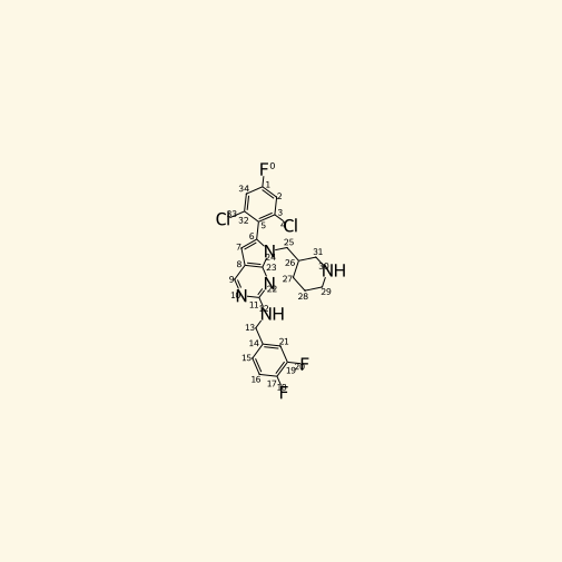 Fc1cc(Cl)c(-c2cc3cnc(NCc4ccc(F)c(F)c4)nc3n2CC2CCCNC2)c(Cl)c1